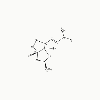 CO[C@@H]1C[C@@H]2C(C=CC(C)O)CC[C@H]2O1